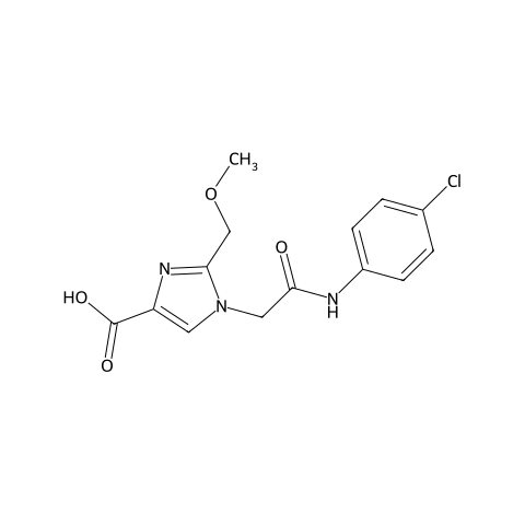 COCc1nc(C(=O)O)cn1CC(=O)Nc1ccc(Cl)cc1